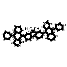 CC1(C)c2cc(-c3c4ccccc4c(-c4ccccc4)c4ccncc34)ccc2-c2ccc(-c3c4ccccc4c(-c4ccccc4)c4ccncc34)cc21